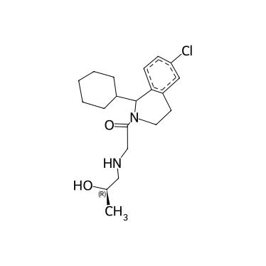 C[C@@H](O)CNCC(=O)N1CCc2cc(Cl)ccc2C1C1CCCCC1